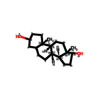 C[C@]12CCC(O)CC1CC[C@@H]1[C@H]2CC[C@]2(C)C(O)CC[C@@H]12